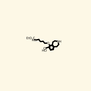 CCOC(=O)NCCCCOc1c(Cl)ccc2c1CCNCC2.Cl